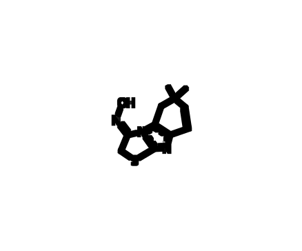 CC1(C)C=Cc2nc3n(c2C1)C(=NO)CS3